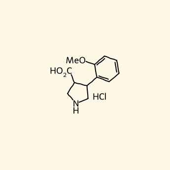 COc1ccccc1C1CNCC1C(=O)O.Cl